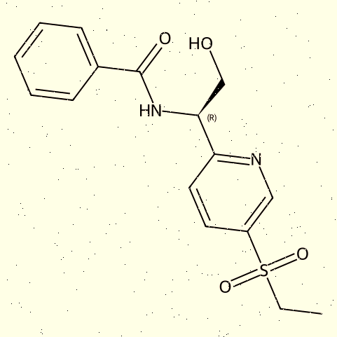 CCS(=O)(=O)c1ccc([C@H](CO)NC(=O)c2ccccc2)nc1